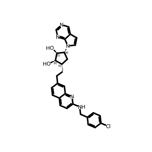 O[C@@H]1[C@@H](CCc2ccc3ccc(NCc4ccc(Cl)cc4)nc3c2)C[C@@H](n2ccc3cncnc32)[C@@H]1O